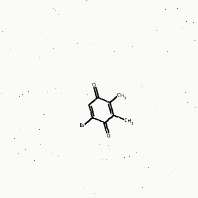 CC1=C(C)C(=O)C(Br)=CC1=O